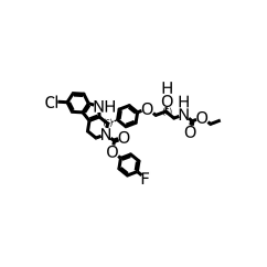 CCOC(=O)NC[C@H](O)COc1ccc([C@H]2c3[nH]c4ccc(Cl)cc4c3CCN2C(=O)Oc2ccc(F)cc2)cc1